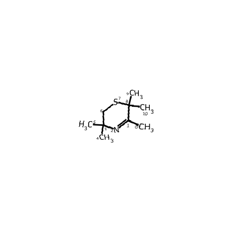 CC1=NC(C)(C)CSC1(C)C